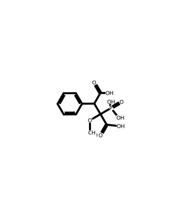 COC(C(=O)O)(C(C(=O)O)c1ccccc1)P(=O)(O)O